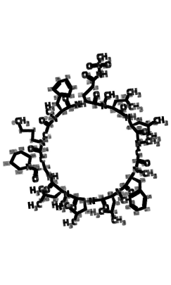 CCCCN1CC(=O)N(C)[C@@H](Cc2ccccc2)C(=O)NC(CCC(=O)NS(C)(=O)=O)C(=O)N(C)[C@@H](CC(C)C)C(=O)N[C@@H](CC(C)C)C(=O)N(C)CC(=O)N(C)[C@@H](Cc2ccccc2)C(=O)N(C)[C@@H](CC(C)C)C(=O)N[C@@H](CC(C)C)C(=O)N(C)[C@@H](CC(C)C)C(=O)N[C@H](C(=O)N2CCCCC2)CC1=O